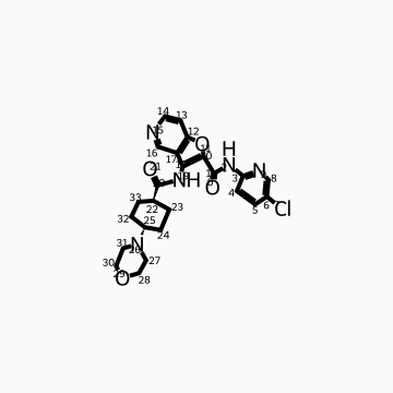 O=C(Nc1ccc(Cl)cn1)c1oc2ccncc2c1NC(=O)[C@H]1CC[C@H](N2CCOCC2)CC1